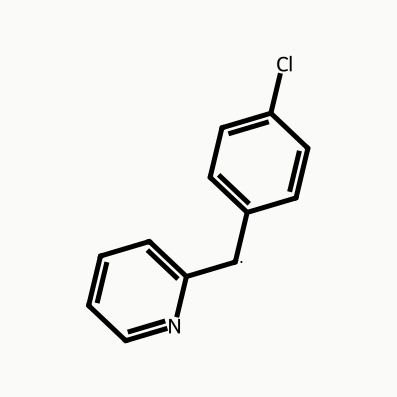 Clc1ccc([CH]c2ccccn2)cc1